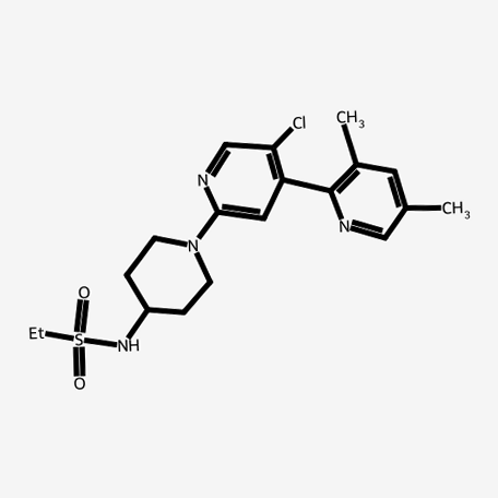 CCS(=O)(=O)NC1CCN(c2cc(-c3ncc(C)cc3C)c(Cl)cn2)CC1